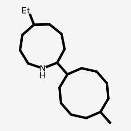 CCC1CCCNC(C2CCCCC(C)CCCC2)CCC1